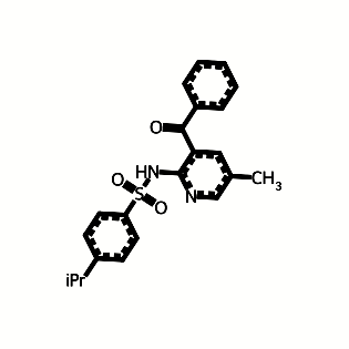 Cc1cnc(NS(=O)(=O)c2ccc(C(C)C)cc2)c(C(=O)c2ccccc2)c1